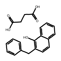 O=C(O)CCC(=O)O.Oc1c(Cc2ccccc2)ccc2ccccc12